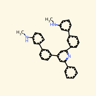 CNc1cccc(-c2cccc(-c3cc(-c4ccccc4)nc(-c4cccc(-c5cccc(NC)c5)c4)c3)c2)c1